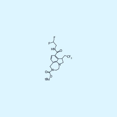 CC(C)(C)OC(=O)N1CCN2CC(CC(F)(F)F)c3c(C(=O)NCC(F)F)ccc(c32)C1